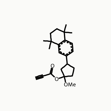 C#CC(=O)OC1(OC)CCC(c2ccc3c(c2)C(C)(C)CCC3(C)C)C1